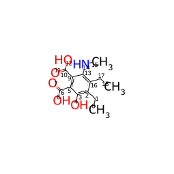 CCc1c(O)c(C(=O)O)c(C(=O)O)c(NC)c1CC